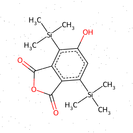 C[Si](C)(C)c1cc(O)c([Si](C)(C)C)c2c1C(=O)OC2=O